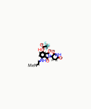 CNCCNc1cccc2c1C(=O)N(C1CCC(=O)NC1=O)C2=O.O=C(O)C(F)(F)F